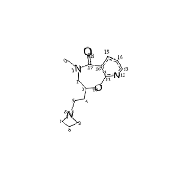 CN1CC(CCN2CCC2)Oc2ncccc2C1=O